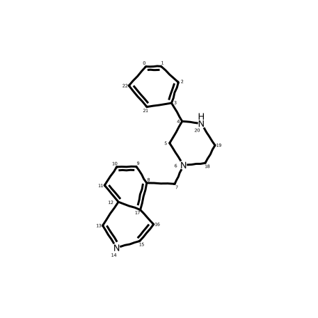 c1ccc(C2CN(Cc3cccc4cnccc34)CCN2)cc1